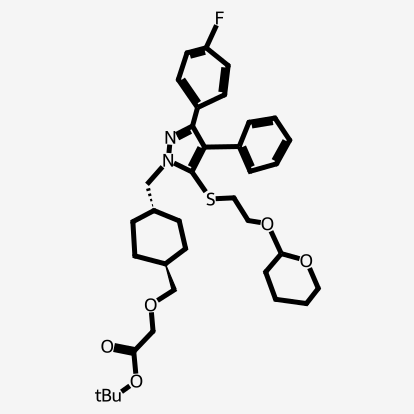 CC(C)(C)OC(=O)COC[C@H]1CC[C@H](Cn2nc(-c3ccc(F)cc3)c(-c3ccccc3)c2SCCOC2CCCCO2)CC1